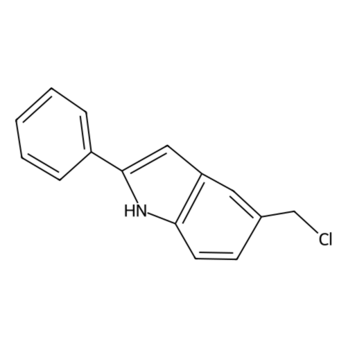 ClCc1ccc2[nH]c(-c3ccccc3)cc2c1